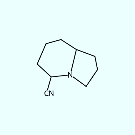 N#CC1CCCC2CCCN12